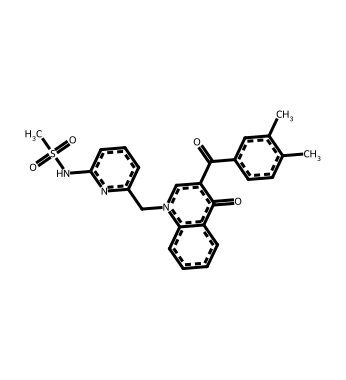 Cc1ccc(C(=O)c2cn(Cc3cccc(NS(C)(=O)=O)n3)c3ccccc3c2=O)cc1C